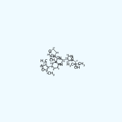 Cc1noc(C)c1-c1ccc2nc(-c3cnn(CC(C)(C)O)c3)nc(N3CCOC[C@H]3C)c2c1